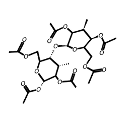 CC(=O)OCC1O[C@@H](O[C@H]2C(COC(C)=O)O[C@@H](OC(C)=O)C(OC(C)=O)[C@H]2C)C(OC(C)=O)[C@@H](C)[C@H]1OC(C)=O